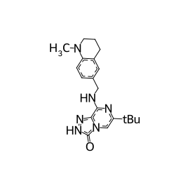 CN1CCCc2cc(CNc3nc(C(C)(C)C)cn4c(=O)[nH]nc34)ccc21